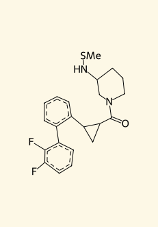 CSNC1CCCN(C(=O)C2CC2c2ccccc2-c2cccc(F)c2F)C1